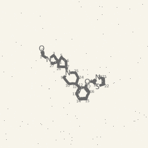 O=CN1CC2(CCC(N3CCC(c4ccccc4Oc4nccs4)CC3)C2)C1